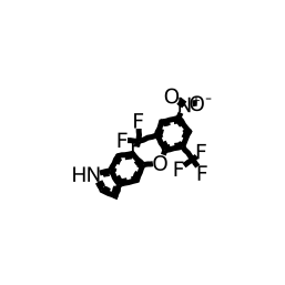 O=[N+]([O-])c1cc(C(F)(F)F)c(Oc2ccc3[nH]ccc3c2)c(C(F)(F)F)c1